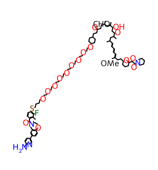 COC(CC1CCCC(C(=O)C(=O)N2CCCCC2)O1)/C(C)=C/C=C/C=C/C(C)CC(C)C(=O)CC(O)/C(C)=C/C(C)CCC(CCC1CCC(OCCOCCOCCOCCOCCOCCOCCOCCOCCCCSc2ccc(C(=O)N3CCOc4ccc(-c5ccc(N)nc5)cc4C3)c(C)c2F)CC1)OC=O